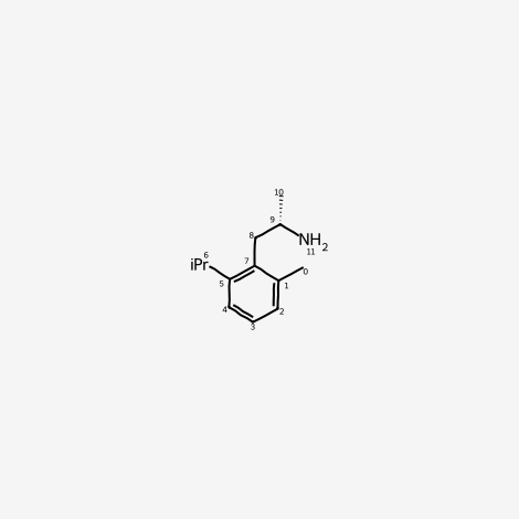 Cc1cccc(C(C)C)c1C[C@H](C)N